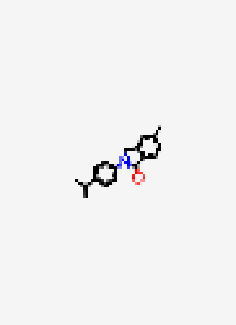 Cc1ccc2c(c1)CN(c1ccc(C(C)C)cc1)C2=O